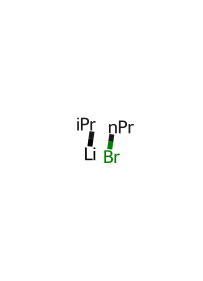 CCCBr.[Li][CH](C)C